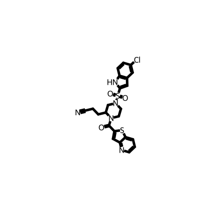 N#CCCC1CN(S(=O)(=O)c2cc3cc(Cl)ccc3[nH]2)CCN1C(=O)c1cc2ncccc2s1